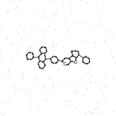 c1ccc(-c2c3ccccc3c(-c3ccc(-c4ccc5oc6c(-c7ccccc7)cccc6c5c4)cc3)c3ccccc23)cc1